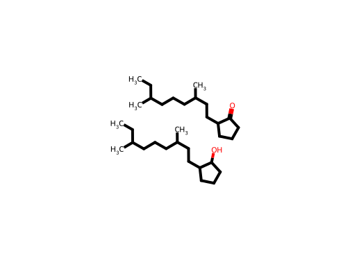 CCC(C)CCCC(C)CCC1CCCC1=O.CCC(C)CCCC(C)CCC1CCCC1O